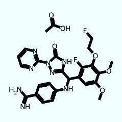 CC(=O)O.COc1cc(C(Nc2ccc(C(=N)N)cc2)c2nn(-c3ncccn3)c(=O)[nH]2)c(F)c(OCCF)c1OC